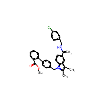 C=C(NCc1ccc(Cl)cc1)c1ccc2c(c1)c(C)c(C)n2Cc1ccc(-c2ccccc2C(=O)OC(C)(C)C)cc1